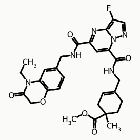 CCN1C(=O)COc2ccc(CNC(=O)c3cc(C(=O)NCC4=CCC(C)(C(=O)OC)CC4)n4ncc(F)c4n3)cc21